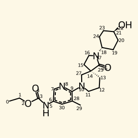 CCOC(=O)Nc1cnc(N2CCC[C@@]3(CCN([C@H]4CC[C@H](O)CC4)C3=O)C2)c(C)c1